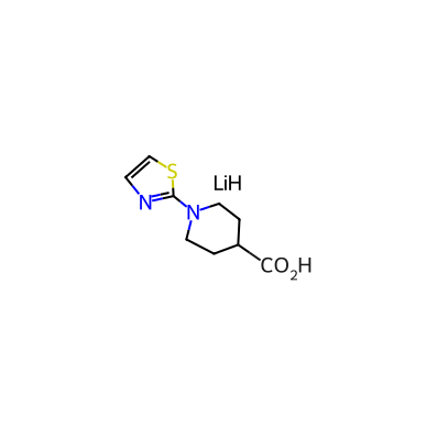 O=C(O)C1CCN(c2nccs2)CC1.[LiH]